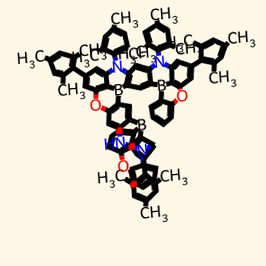 Cc1cc(C)c(-c2cc3c4c(c2)N2c5ccccc5Oc5cccc(c52)B4c2cc4c(cc2N3)Oc2cc(-c3c(C)cc(C)cc3C)cc3c2B4c2cc4c(cc2N3c2c(C)cc(C)cc2C)N(c2c(C)cc(C)cc2C)c2cc(-c3c(C)cc(C)cc3C)cc3c2B4c2ccccc2O3)c(C)c1